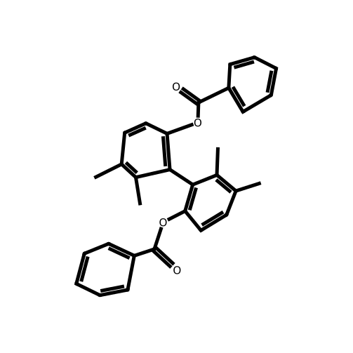 Cc1ccc(OC(=O)c2ccccc2)c(-c2c(OC(=O)c3ccccc3)ccc(C)c2C)c1C